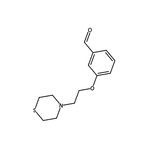 O=Cc1cccc(OCCN2CCSCC2)c1